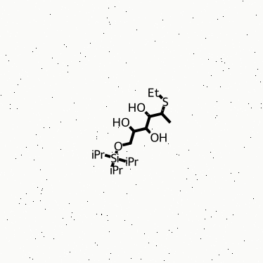 CCSC(C)C(O)C(O)C(O)CO[Si](C(C)C)(C(C)C)C(C)C